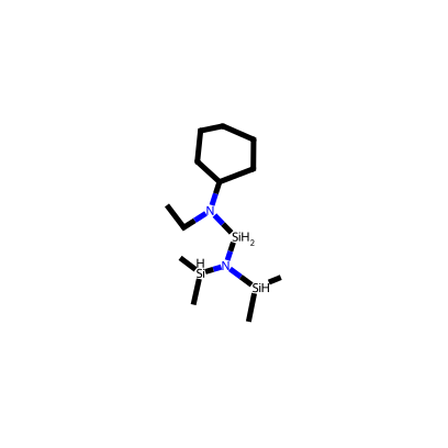 CCN([SiH2]N([SiH](C)C)[SiH](C)C)C1CCCCC1